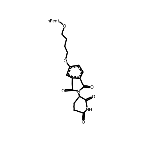 CCCCCOCCCCOc1ccc2c(c1)C(=O)N(C1CCC(=O)NC1=O)C2=O